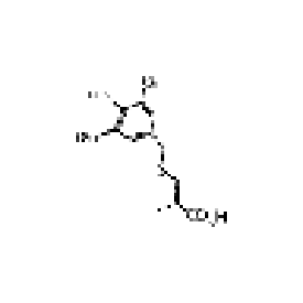 C/C(=C\SCc1cc(C(C)(C)C)c(O)c(C(C)(C)C)c1)C(=O)O